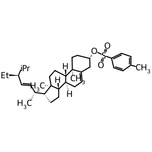 CC[C@H](/C=C/[C@@H](C)[C@H]1CC[C@H]2[C@@H]3CC=C4C[C@@H](OS(=O)(=O)c5ccc(C)cc5)CC[C@]4(C)[C@H]3CC[C@]12C)C(C)C